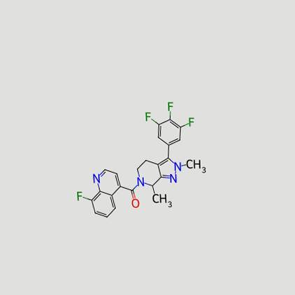 CC1c2nn(C)c(-c3cc(F)c(F)c(F)c3)c2CCN1C(=O)c1ccnc2c(F)cccc12